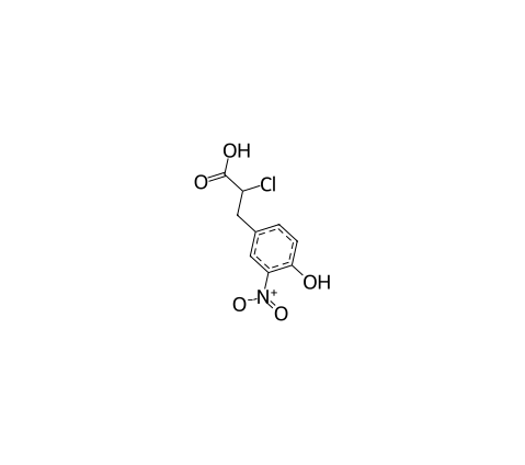 O=C(O)C(Cl)Cc1ccc(O)c([N+](=O)[O-])c1